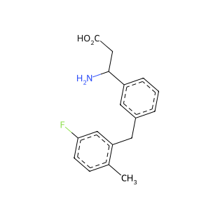 Cc1ccc(F)cc1Cc1cccc(C(N)CC(=O)O)c1